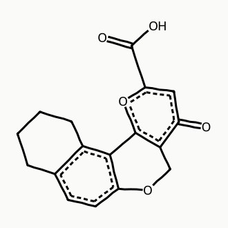 O=C(O)c1cc(=O)c2c(o1)-c1c(ccc3c1CCCC3)OC2